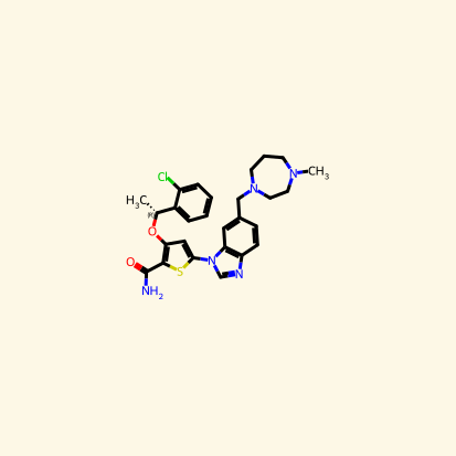 C[C@@H](Oc1cc(-n2cnc3ccc(CN4CCCN(C)CC4)cc32)sc1C(N)=O)c1ccccc1Cl